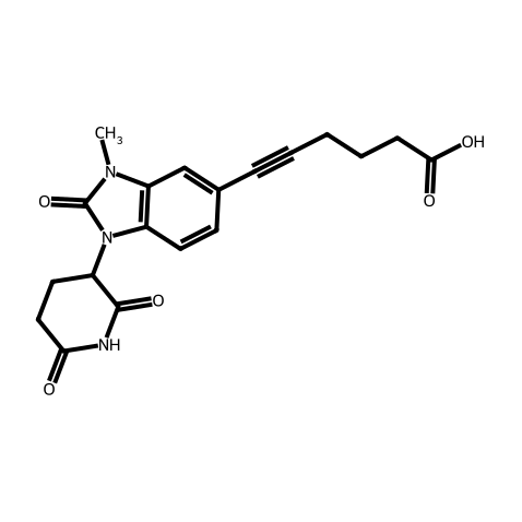 Cn1c(=O)n(C2CCC(=O)NC2=O)c2ccc(C#CCCCC(=O)O)cc21